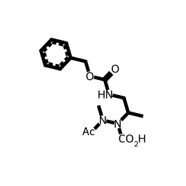 CC(=O)N(C)N(C(=O)O)C(C)CNC(=O)OCc1ccccc1